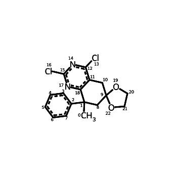 CC1(c2ccccc2)CC2(Cc3c(Cl)nc(Cl)nc31)OCCO2